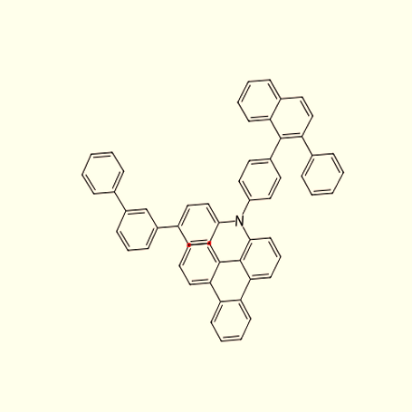 c1ccc(-c2cccc(-c3ccc(N(c4ccc(-c5c(-c6ccccc6)ccc6ccccc56)cc4)c4cccc5c6ccccc6c6ccccc6c45)cc3)c2)cc1